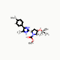 COc1ccc(-c2[nH]c([C@@H]3C[C@@H](O[Si](C)(C)C(C)(C)C)CN3C(=O)OC(C)(C)C)nc2C(F)(F)F)cc1